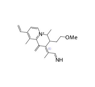 C=Cc1cc[n+]2c(c1C)C(=C)/C(=C(\C)C=N)C(CCOC)C2C